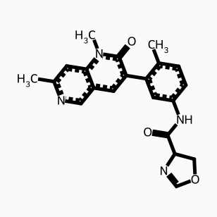 Cc1cc2c(cn1)cc(-c1cc(NC(=O)C3COC=N3)ccc1C)c(=O)n2C